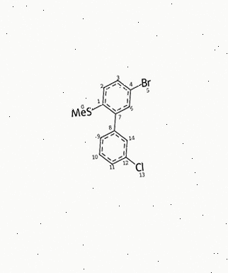 CSc1ccc(Br)cc1-c1cccc(Cl)c1